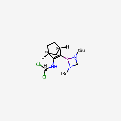 CC(C)(C)N1CN(C(C)(C)C)P1C1=C(N[SiH](Cl)Cl)[C@@H]2CC[C@H]1C2